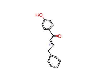 O=C(/C=C/Cc1ccccc1)c1ccc(O)cc1